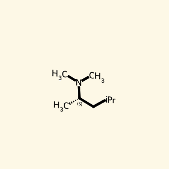 CC(C)C[C@H](C)N(C)C